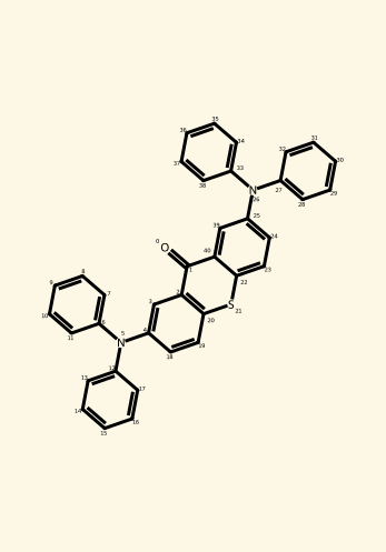 O=c1c2cc(N(c3ccccc3)c3ccccc3)ccc2sc2ccc(N(c3ccccc3)c3ccccc3)cc12